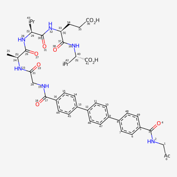 CC(=O)CNC(=O)c1ccc(-c2ccc(-c3ccc(C(=O)NCC(=O)N[C@@H](C)C(=O)N[C@H](C(=O)N[C@@H](CCC(=O)O)C(=O)N[C@H](C(=O)O)C(C)C)C(C)C)cc3)cc2)cc1